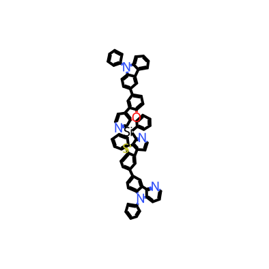 c1ccc(-n2c3ccccc3c3cc(-c4ccc5oc6c([Si](c7ccccc7)(c7ccccc7)c7nccc8c7sc7ccc(-c9ccc%10c(c9)c9ncccc9n%10-c9ccccc9)cc78)nccc6c5c4)ccc32)cc1